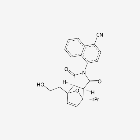 CCCC12C=CC(CCO)(O1)[C@H]1C(=O)N(c3ccc(C#N)c4ccccc34)C(=O)[C@H]12